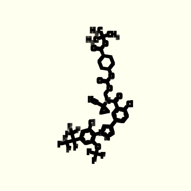 CC(C)(C)OC(=O)[C@H]1CC[C@@H](OC(=O)OCN(C(=O)c2cc(-c3cnn(-c4c(Cl)cc(C(F)(C(F)(F)F)C(F)(F)F)cc4OC(F)(F)F)c3)ccc2Cl)C2(C#N)CC2)CC1